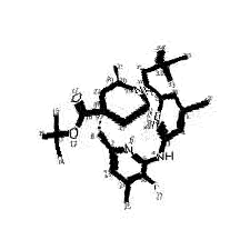 CC1=CC(Nc2nc(C[C@@]3(C(=O)OC(C)(C)C)CCN[C@H](C)C3)cc(C)c2F)=NC(CCC(C)(C)C)C1